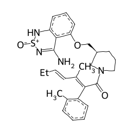 CC/C=C/C(C)=C(/C(=O)N1CCC[C@H](COc2cccc3c2C(N)=N[S+]([O-])N3)C1)c1ccccc1C